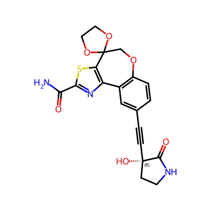 NC(=O)c1nc2c(s1)C1(COc3ccc(C#C[C@]4(O)CCNC4=O)cc3-2)OCCO1